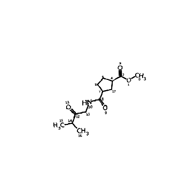 COC(=O)C1CCC(C(=O)NCC(=O)C(C)C)C1